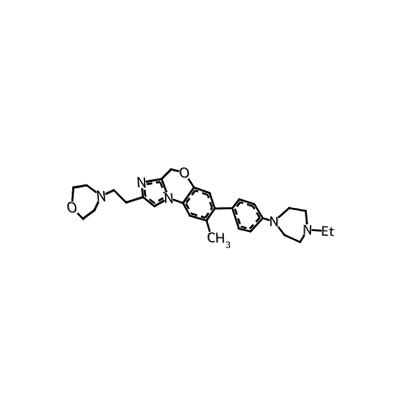 CCN1CCN(c2ccc(-c3cc4c(cc3C)-n3cc(CCN5CCOCC5)nc3CO4)cc2)CC1